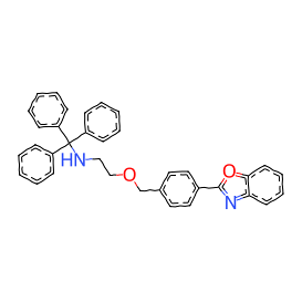 c1ccc(C(NCCOCc2ccc(-c3nc4ccccc4o3)cc2)(c2ccccc2)c2ccccc2)cc1